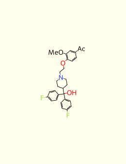 COc1cc(C(C)=O)ccc1OCCN1CCC(C(O)(c2ccc(F)cc2)c2ccc(F)cc2)CC1